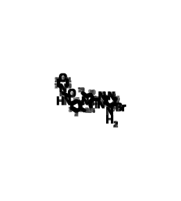 Cc1ccc(NC(=O)CN2CCOCC2)cc1-n1c(C)cc(-c2nc3ncc(Br)c(N)c3[nH]2)c1C